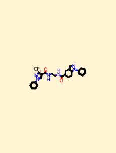 O=C(NCCNC(=O)C1CCc2c(cnn2-c2ccccc2)C1)c1cn(-c2ccccc2)nc1C(F)(F)F